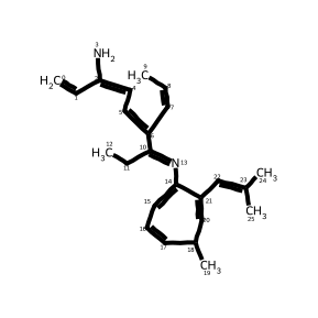 C=C\C(N)=C/C=C(\C=C/C)C(/CC)=N/C1=CC=CC(C)C=C1C=C(C)C